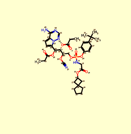 CCC(=O)O[C@H]([C@@H](COP(=O)(NCC(=O)OC1CC2(CCCC2)C1)Oc1ccc(C(C)(C)C)cc1)OC#N)[C@@H](OC(=O)CC)c1ccc2c(N)ncnn12